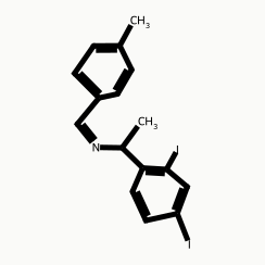 Cc1ccc(/C=N\C(C)c2ccc(I)cc2I)cc1